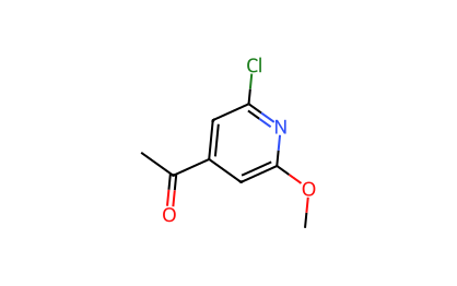 COc1cc(C(C)=O)cc(Cl)n1